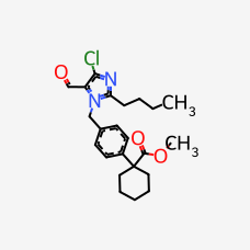 CCCCc1nc(Cl)c(C=O)n1Cc1ccc(C2(C(=O)OC)CCCCC2)cc1